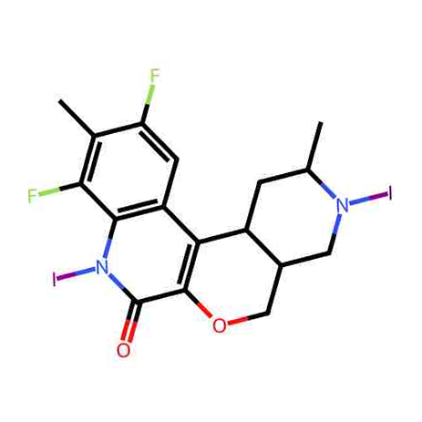 Cc1c(F)cc2c3c(c(=O)n(I)c2c1F)OCC1CN(I)C(C)CC31